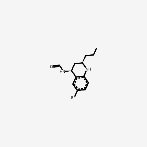 CCC[C@@H]1C[C@H](NC=O)c2cc(Br)ccc2N1